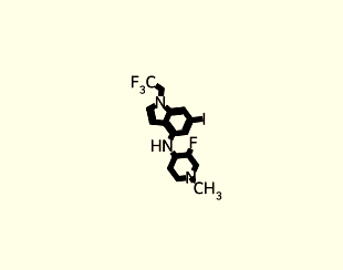 CN1CCC(Nc2cc(I)cc3c2ccn3CC(F)(F)F)C(F)C1